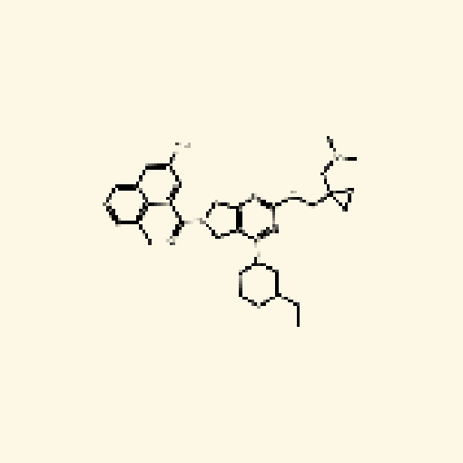 CCC1CCCN(c2nc(OCC3(CN(C)C)CC3)nc3c2CN(C(=O)c2cc(O)cc4cccc(I)c24)C3)C1